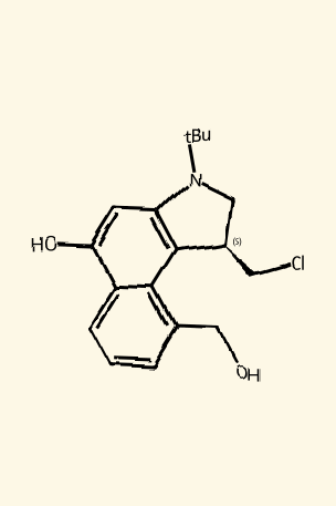 CC(C)(C)N1C[C@@H](CCl)c2c1cc(O)c1cccc(CO)c21